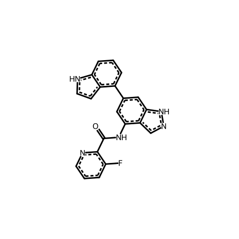 O=C(Nc1cc(-c2cccc3[nH]ccc23)cc2[nH]ncc12)c1ncccc1F